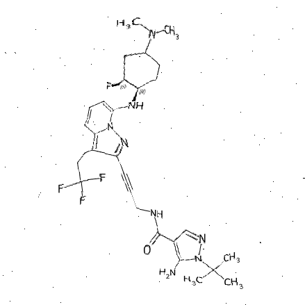 CN(C)C1CC[C@@H](Nc2cccc3c(CC(F)(F)F)c(C#CCNC(=O)c4cnn(C(C)(C)C)c4N)nn23)[C@@H](F)C1